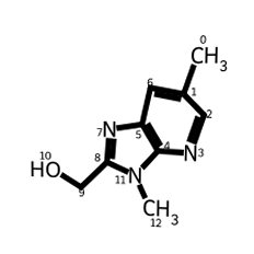 Cc1cnc2c(c1)nc(CO)n2C